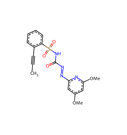 CC#Cc1ccccc1S(=O)(=O)NC(=O)N=Nc1cc(OC)cc(OC)n1